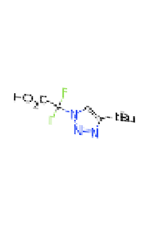 CC(C)(C)c1cn(C(F)(F)C(=O)O)nn1